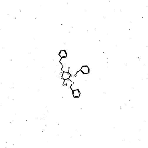 OC1O[C@H](COCc2ccccc2)[C@@H](F)[C@H](OCc2ccccc2)[C@H]1OCc1ccccc1